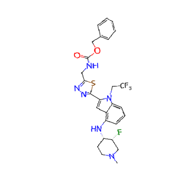 CN1CC[C@H](Nc2cccc3c2cc(-c2nnc(CNC(=O)OCc4ccccc4)s2)n3CC(F)(F)F)[C@H](F)C1